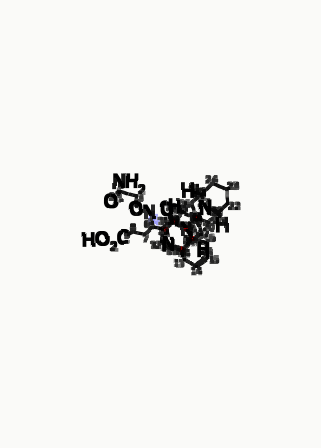 NC(=O)CO/N=C(\CCC(=O)O)c1nc2ccccc2n([C@H]2C[C@H]3CCC[C@@H](C2)N3[C@@H]2C[C@@H]3CCCC[C@@H](C3)C2)c1=O